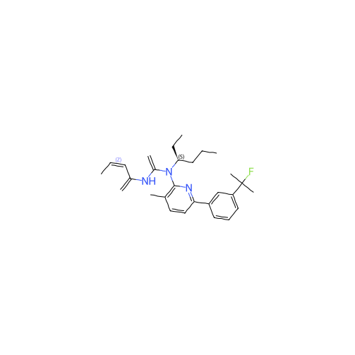 C=C(/C=C\C)NC(=C)N(c1nc(-c2cccc(C(C)(C)F)c2)ccc1C)[C@@H](CC)CCC